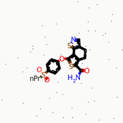 CCCS(=O)(=O)c1ccc(Oc2sc(C(N)=O)c3c2-c2sncc2CC3)cc1